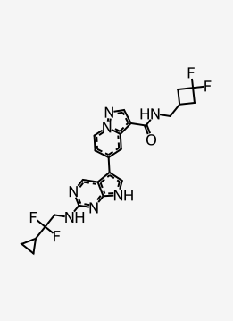 O=C(NCC1CC(F)(F)C1)c1cnn2ccc(-c3c[nH]c4nc(NCC(F)(F)C5CC5)ncc34)cc12